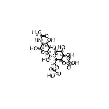 CC(=O)N[C@@H]1[C@@H](O)[C@H](O[C@@H]2O[C@H](COS(=O)(=O)O)[C@H](OS(=O)(=O)O)[C@H](O)[C@H]2O)[C@@H](CO)O[C@H]1O